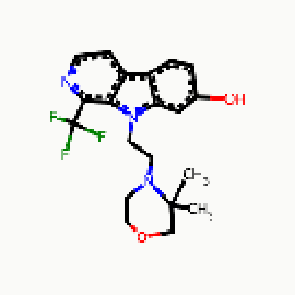 CC1(C)COCCN1CCn1c2cc(O)ccc2c2ccnc(C(F)(F)F)c21